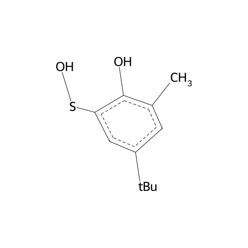 Cc1cc(C(C)(C)C)cc(SO)c1O